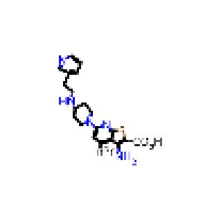 CCCc1cc(N2CCC(NCCc3cccnc3)CC2)nc2sc(C(=O)O)c(N)c12